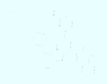 CCCCCCCCCCCCCCOC(=O)c1ccc(C)c(NC(=O)C(C2=Nc3ccccc3S(=O)(=O)N2C)N2C(=O)C(OCC)N(Cc3ccccc3)C2=O)c1